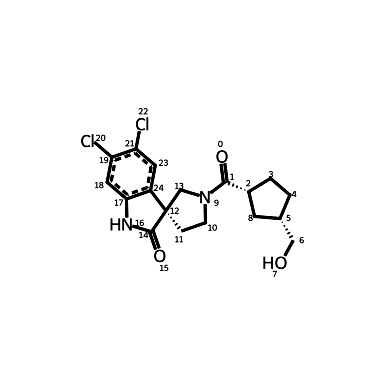 O=C([C@@H]1CC[C@H](CO)C1)N1CC[C@]2(C1)C(=O)Nc1cc(Cl)c(Cl)cc12